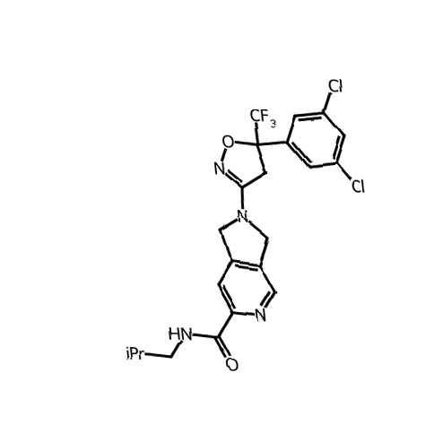 CC(C)CNC(=O)c1cc2c(cn1)CN(C1=NOC(c3cc(Cl)cc(Cl)c3)(C(F)(F)F)C1)C2